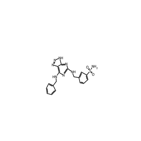 NS(=O)(=O)c1cccc(CNc2nc(NCc3ccccc3)c3nn[nH]c3n2)c1